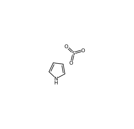 O=S(=O)=O.c1cc[nH]c1